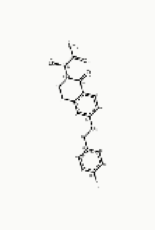 CC[C@@H](C(N)=O)N1CCc2cc(OCc3ccc(F)cc3)ccc2C1=O